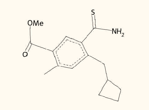 COC(=O)c1cc(C(N)=S)c(CC2CCC2)cc1C